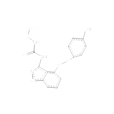 CCCCCCCCSNC(=O)Nc1noc2cccc(OCc3ccc(C)cc3)c12